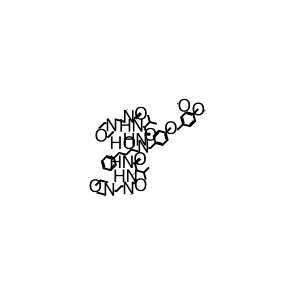 COc1ccc(COc2ccc(CN(CC(O)C(Cc3ccccc3)NC(=O)[C@@H](NC(=O)N(C)CCN3CCOCC3)C(C)C)NC(=O)[C@@H](NC(=O)N(C)CCN3CCOCC3)C(C)C)cc2)cc1OC